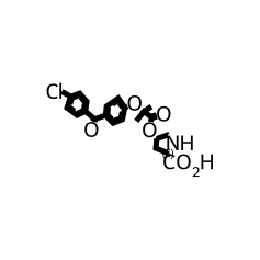 CC(C)(Oc1ccc(C(=O)c2ccc(Cl)cc2)cc1)C(=O)OC1CN[C@H](C(=O)O)C1